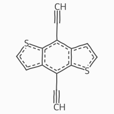 C#Cc1c2ccsc2c(C#C)c2ccsc12